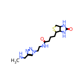 CNCc1cn(CCNC(=O)CCCC2SCC3NC(=O)NC32)nn1